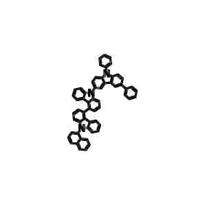 c1ccc(-c2ccc3c(c2)c2cc(-n4c5ccccc5c5c(-c6cccc7c6c6ccccc6n7-c6cccc7ccccc67)cccc54)ccc2n3-c2ccccc2)cc1